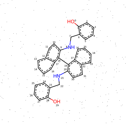 Oc1ccccc1CNc1ccc2ccccc2c1-c1c(NCc2ccccc2O)ccc2ccccc12